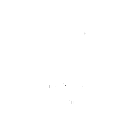 CC(=O)N(C)CCc1ccc(F)cc1